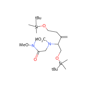 C=C(CCO[Si](C)(C)C(C)(C)C)C(CO[Si](C)(C)C(C)(C)C)N(CC(=O)N(C)OC)C(=O)O